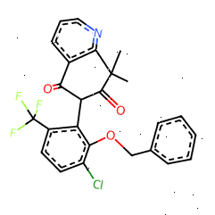 CC1(C)C(=O)C(c2c(C(F)(F)F)ccc(Cl)c2OCc2ccccc2)C(=O)c2cccnc21